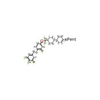 CCCCCC1=CCC(C2CCC(C(F)(F)Oc3ccc(CCc4cc(F)c(F)c(F)c4)c(F)c3)CC2)CC1